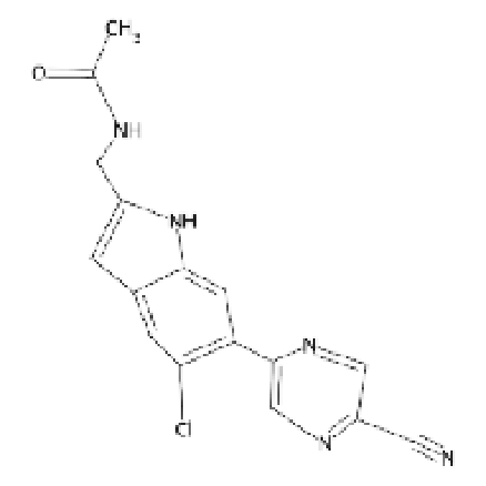 CC(=O)NCc1cc2cc(Cl)c(-c3cnc(C#N)cn3)cc2[nH]1